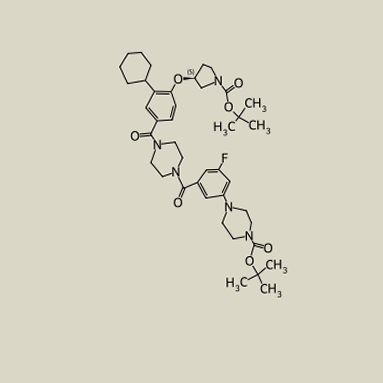 CC(C)(C)OC(=O)N1CCN(c2cc(F)cc(C(=O)N3CCN(C(=O)c4ccc(O[C@H]5CCN(C(=O)OC(C)(C)C)C5)c(C5CCCCC5)c4)CC3)c2)CC1